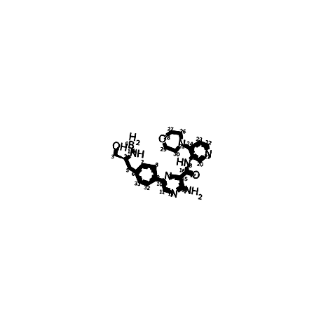 BN[C@H](CO)Cc1ccc(-c2cnc(N)c(C(=O)Nc3cnccc3N3CCOCC3)n2)cc1